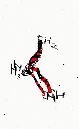 C#CC#CC#CC#CC#CC#CC#CC#CC#CC#CC(=C=C=C=C=C=C=C=C=C=C=C=C=C=C=C=C=C)C(C)CCC(C)C(=O)OC#CC#CC#CC#CC#CC#CC#CC#CC#C